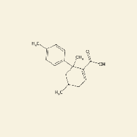 Cc1ccc(C2(C)CC(C)CC=C2C(=O)O)cc1